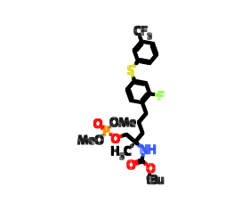 COP(=O)(OC)OC[C@@](C)(CCCc1ccc(Sc2cccc(C(F)(F)F)c2)cc1F)NC(=O)OC(C)(C)C